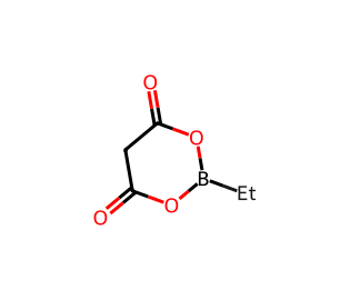 CCB1OC(=O)CC(=O)O1